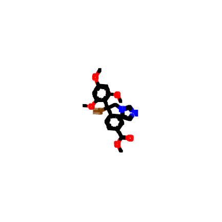 COC(=O)c1ccc(C(S)(Cn2ccnc2)c2c(OC)cc(OC)cc2OC)cc1